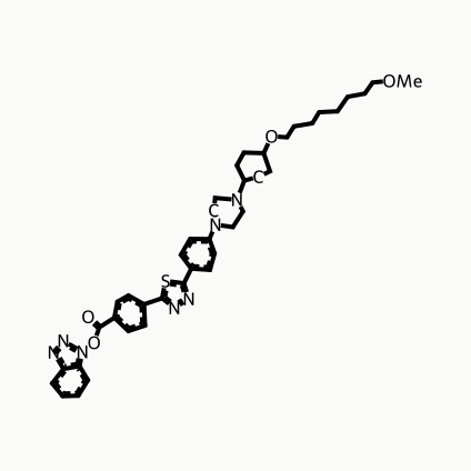 COCCCCCCCCOC1CCC(N2CCN(c3ccc(-c4nnc(-c5ccc(C(=O)On6nnc7ccccc76)cc5)s4)cc3)CC2)CC1